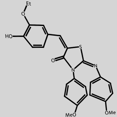 CCOc1cc(/C=C2/S/C(=N/c3ccc(OC)cc3)N(c3ccc(OC)cc3)C2=O)ccc1O